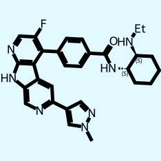 CCN[C@H]1CCCC[C@@H]1NC(=O)c1ccc(-c2c(F)cnc3[nH]c4cnc(-c5cnn(C)c5)cc4c23)cc1